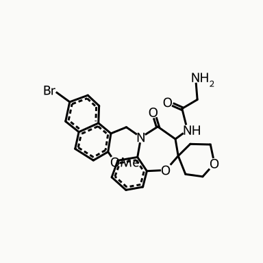 COc1ccc2cc(Br)ccc2c1CN1C(=O)C(NC(=O)CN)C2(CCOCC2)Oc2ccccc21